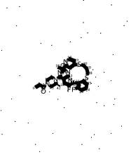 C=CC(=O)N1CCN(c2nc(=O)n3c4nc(c(F)cc24)-c2c(F)cccc2SCCCSc2ccnc(C(C)C)c2-3)[C@@H](C)C1